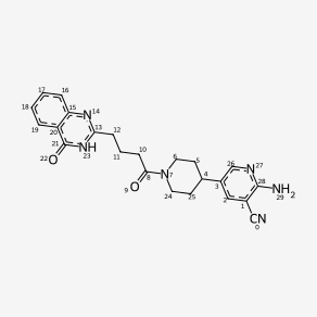 N#Cc1cc(C2CCN(C(=O)CCCc3nc4ccccc4c(=O)[nH]3)CC2)cnc1N